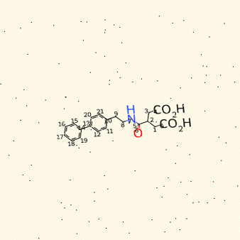 O=C(O)CC(CC(=O)O)C(=O)NCCc1ccc(-c2ccccc2)cc1